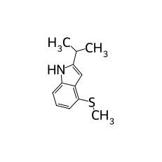 CSc1cccc2[nH]c(C(C)C)cc12